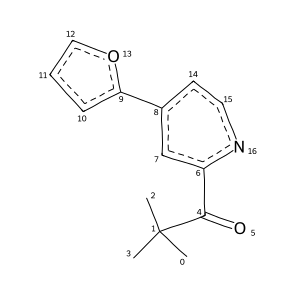 CC(C)(C)C(=O)c1cc(-c2ccco2)ccn1